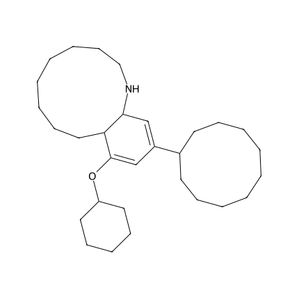 C1=C(C2CCCCCCCCC2)C=C(OC2CCCCC2)C2CCCCCCCCNC12